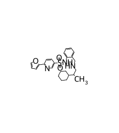 CC(CNCc1ccccc1NS(=O)(=O)c1ccc(-c2ccco2)nc1)C1CCCCC1